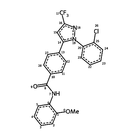 COc1ccccc1NC(=O)c1ccc(-c2cc(C(F)(F)F)nn2-c2ccccc2Cl)cc1